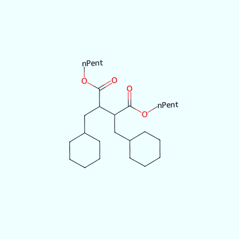 CCCCCOC(=O)C(CC1CCCCC1)C(CC1CCCCC1)C(=O)OCCCCC